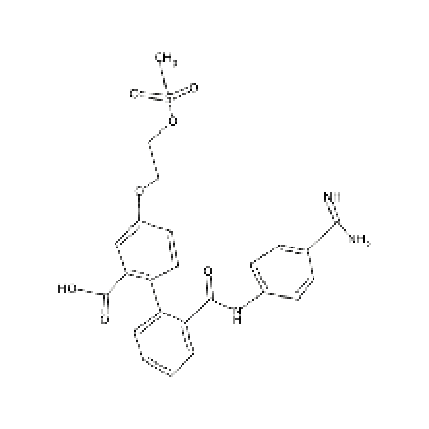 CS(=O)(=O)OCCOc1ccc(-c2ccccc2C(=O)Nc2ccc(C(=N)N)cc2)c(C(=O)O)c1